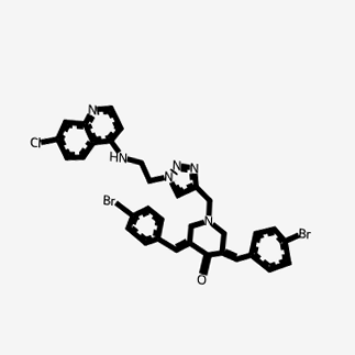 O=C1/C(=C/c2ccc(Br)cc2)CN(Cc2cn(CCNc3ccnc4cc(Cl)ccc34)nn2)C/C1=C\c1ccc(Br)cc1